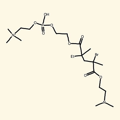 CCC(C)(CC(C)(Br)C(=O)OCCN(C)C)C(=O)OCCOP(=O)(O)OCC[N+](C)(C)C